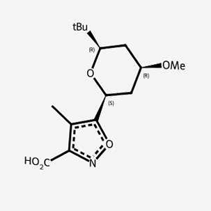 CO[C@H]1C[C@@H](c2onc(C(=O)O)c2C)O[C@@H](C(C)(C)C)C1